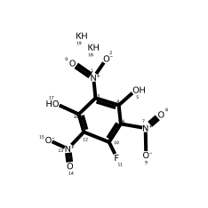 O=[N+]([O-])c1c(O)c([N+](=O)[O-])c(F)c([N+](=O)[O-])c1O.[KH].[KH]